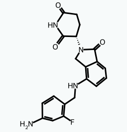 Nc1ccc(CNc2cccc3c2CN([C@H]2CCC(=O)NC2=O)C3=O)c(F)c1